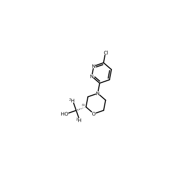 [2H]C([2H])(O)[C@@H]1CN(c2ccc(Cl)nn2)CCO1